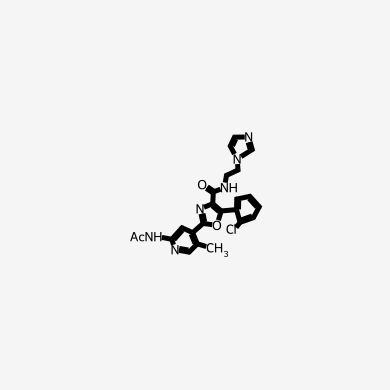 CC(=O)Nc1cc(-c2nc(C(=O)NCCn3ccnc3)c(-c3ccccc3Cl)o2)c(C)cn1